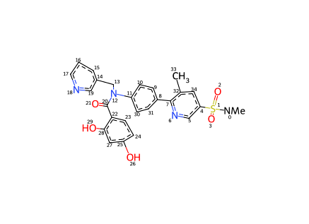 CNS(=O)(=O)c1cnc(-c2ccc(N(Cc3cccnc3)C(=O)c3ccc(O)cc3O)cc2)c(C)c1